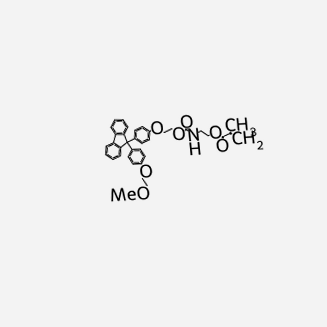 C=C(C)C(=O)OCCNC(=O)OCCOc1ccc(C2(c3ccc(OCCOC)cc3)c3ccccc3-c3ccccc32)cc1